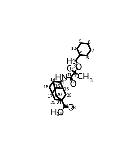 CC(C)(OCC1CCCCC1)C(=O)NC1C2CC3CC1CC(C(=O)O)(C3)C2